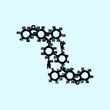 N#Cc1ccc(-n2c3ccccc3c3cc4oc5ccccc5c4cc32)cc1-c1cc(-n2c3ccccc3c3cc4oc5ccccc5c4cc32)ccc1C#N